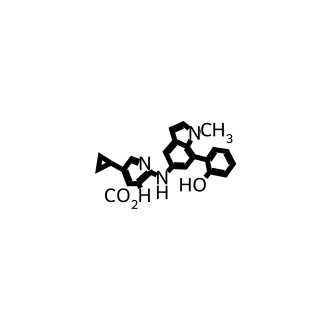 Cn1ccc2cc(Nc3ncc(C4CC4)cc3C(=O)O)cc(-c3ccccc3O)c21